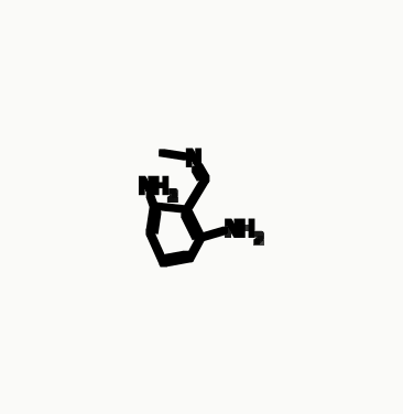 C/N=C\c1c(N)cccc1N